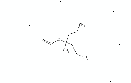 CCCC(C)(CCC)O[C]=O